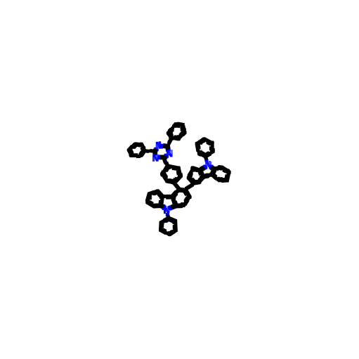 c1ccc(-c2nc(-c3ccccc3)nc(-c3ccc(-c4c(-c5ccc6c(c5)c5ccccc5n6-c5ccccc5)ccc5c4c4ccccc4n5-c4ccccc4)cc3)n2)cc1